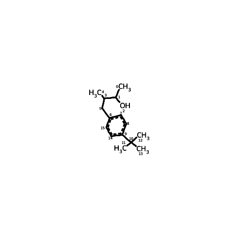 CC(O)C(C)Cc1ccc(C(C)(C)C)cc1